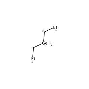 CC[CH2][GeH2][CH2]CC